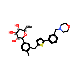 CS[C@H]1OC(c2ccc(C)c(Cc3ccc(-c4cccc(CN5CCOCC5)c4)s3)c2)[C@H](O)[C@@H](O)[C@@H]1O